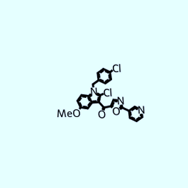 COc1ccc2c(c1)c(C(=O)c1cnc(-c3cccnc3)o1)c(Cl)n2Cc1ccc(Cl)cc1